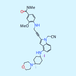 CNC(=O)c1ccc(NCC#Cc2cc3c(N[C@]4(I)CC[C@](C)(N5CCOCC5)CC4)cccc3n2CC#N)c(OC)c1